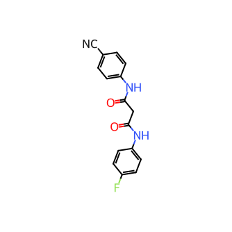 N#Cc1ccc(NC(=O)CC(=O)Nc2ccc(F)cc2)cc1